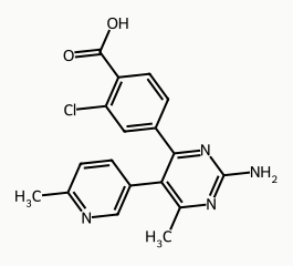 Cc1ccc(-c2c(C)nc(N)nc2-c2ccc(C(=O)O)c(Cl)c2)cn1